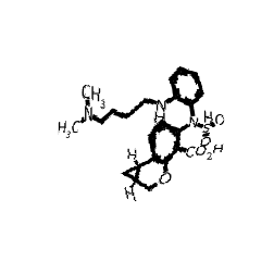 CN(C)CCCCNc1ccccc1N(c1ccc2c(c1C(=O)O)OC[C@@H]1C[C@H]21)[SH](=O)=O